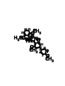 COc1ccc(-c2cc(OC)c3c(NS(=O)(=O)c4c(OC)cccc4OC)noc3c2)cn1